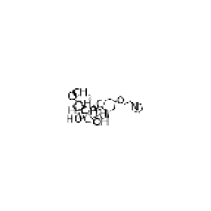 COc1ccc(C2(O)C=C[C@@]3(O)[C@@H]4CCC5CC(OCCN6CCCC6)CC[C@]5(C)[C@@H]4CC[C@]23C)cc1